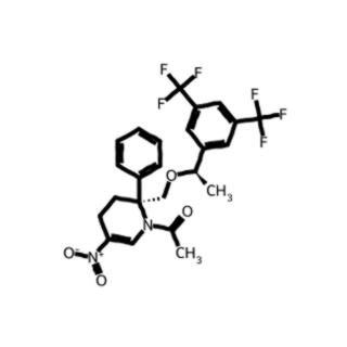 CC(=O)N1C=C([N+](=O)[O-])CC[C@@]1(CO[C@H](C)c1cc(C(F)(F)F)cc(C(F)(F)F)c1)c1ccccc1